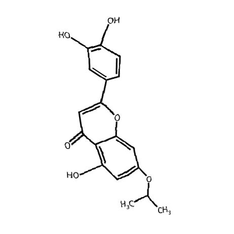 CC(C)Oc1cc(O)c2c(=O)cc(-c3ccc(O)c(O)c3)oc2c1